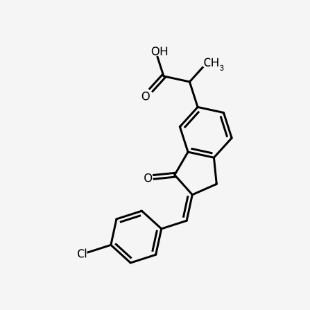 CC(C(=O)O)c1ccc2c(c1)C(=O)C(=Cc1ccc(Cl)cc1)C2